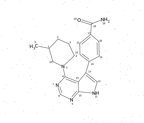 CC1CCCN(c2ncnc3[nH]cc(-c4ccc(C(N)=O)cc4)c23)C1